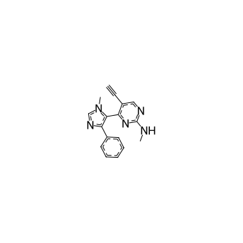 C#Cc1cnc(NC)nc1-c1c(-c2ccccc2)ncn1C